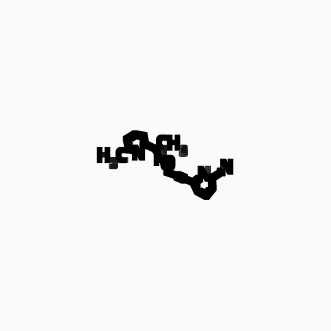 C/C(=N\OCC#Cc1cccc(C#N)n1)c1cccc(C)n1